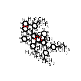 CC(C)(C)c1ccc(N(c2ccc(C(C)(C)C)cc2)c2ccc3c(c2)C2(C)CCCCC2(C)N3c2cc3c4c(c2)N(c2ccc(C(C)(C)C)cc2-c2ccccc2)c2ccccc2B4c2ccccc2N3c2ccc(C(C)(C)C)cc2-c2ccccc2)cc1